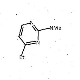 CCc1ccnc(NC)n1